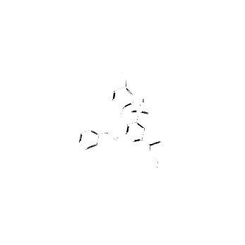 CCOC(=O)c1cc(NCc2ccccc2)c(Oc2ccc(OC)cc2)c(S(N)(=O)=O)c1